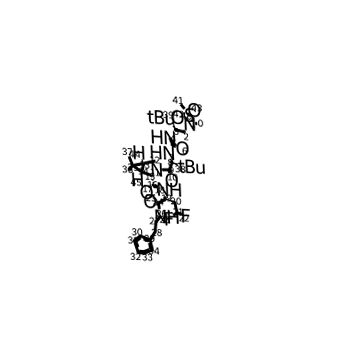 CN(C[C@@H](NC(=O)N[C@H](C(=O)N1C[C@H]2[C@@H]([C@H]1C(=O)N[C@@H](CC(F)F)C(=O)NCCc1ccccc1)C2(C)C)C(C)(C)C)C(C)(C)C)S(C)(=O)=O